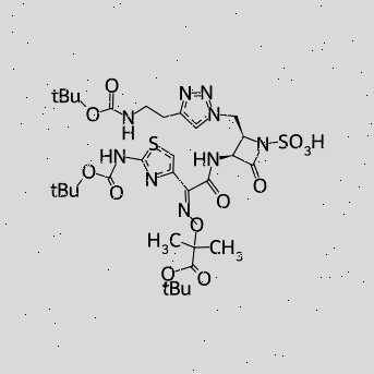 CC(C)(C)OC(=O)NCCc1cn(C[C@@H]2[C@H](NC(=O)/C(=N\OC(C)(C)C(=O)OC(C)(C)C)c3csc(NC(=O)OC(C)(C)C)n3)C(=O)N2S(=O)(=O)O)nn1